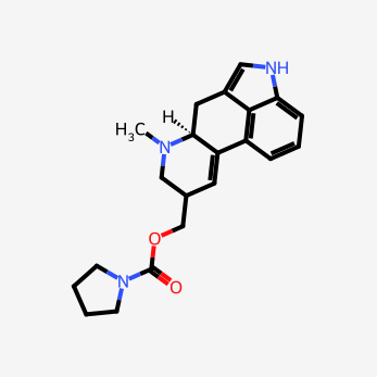 CN1CC(COC(=O)N2CCCC2)C=C2c3cccc4[nH]cc(c34)C[C@@H]21